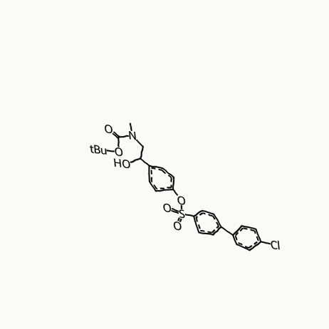 CN(CC(O)c1ccc(OS(=O)(=O)c2ccc(-c3ccc(Cl)cc3)cc2)cc1)C(=O)OC(C)(C)C